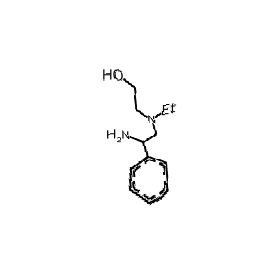 CCN(CCO)CC(N)c1ccccc1